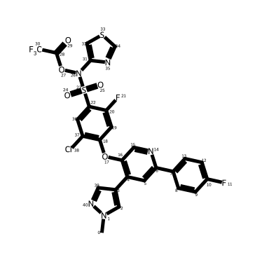 Cn1cc(-c2cc(-c3ccc(F)cc3)ncc2Oc2cc(F)c(S(=O)(=O)N(OC(=O)C(F)(F)F)c3cscn3)cc2Cl)cn1